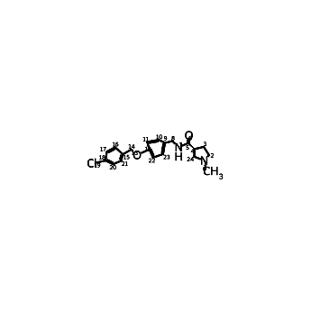 CN1CC[C@H](C(=O)NCc2ccc(OCc3ccc(Cl)cc3)cc2)C1